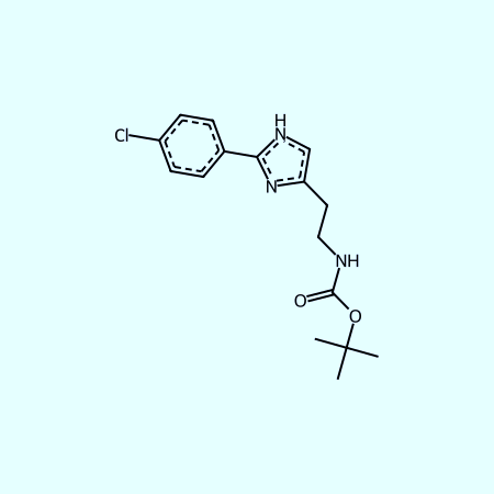 CC(C)(C)OC(=O)NCCc1c[nH]c(-c2ccc(Cl)cc2)n1